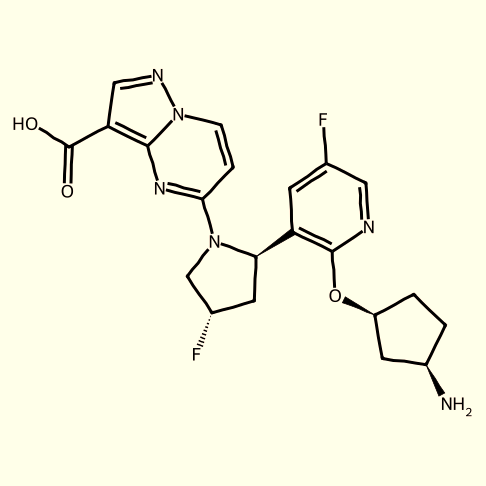 N[C@@H]1CC[C@H](Oc2ncc(F)cc2[C@H]2C[C@H](F)CN2c2ccn3ncc(C(=O)O)c3n2)C1